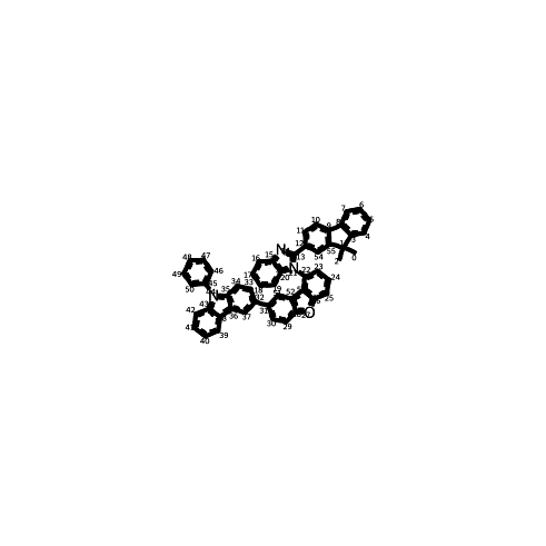 CC1(C)c2ccccc2-c2ccc(-c3nc4ccccc4n3-c3cccc4oc5ccc(-c6ccc7c(c6)c6ccccc6n7-c6ccccc6)cc5c34)cc21